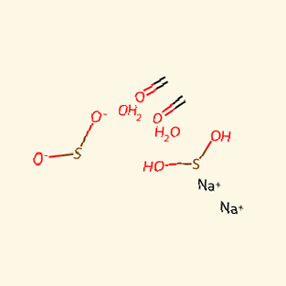 C=O.C=O.O.O.OSO.[Na+].[Na+].[O-]S[O-]